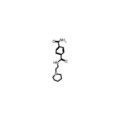 NC(=O)c1ccc(C(=O)NCCN2CCCCC2)cc1